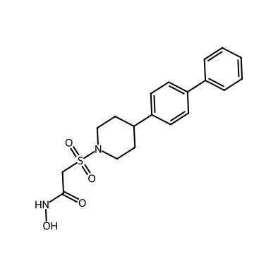 O=C(CS(=O)(=O)N1CCC(c2ccc(-c3ccccc3)cc2)CC1)NO